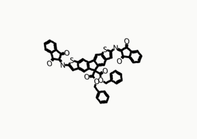 O=C(OCc1ccccc1)C1(C(=O)OCc2ccccc2)c2cc3cc(N=c4c(=O)c5ccccc5c4=O)sc3cc2-c2cc3sc(N=c4c(=O)c5ccccc5c4=O)cc3cc21